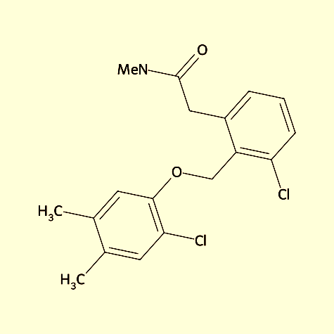 CNC(=O)Cc1cccc(Cl)c1COc1cc(C)c(C)cc1Cl